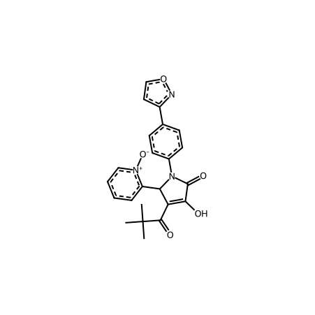 CC(C)(C)C(=O)C1=C(O)C(=O)N(c2ccc(-c3ccon3)cc2)C1c1cccc[n+]1[O-]